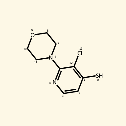 Sc1ccnc(N2CCOCC2)c1Cl